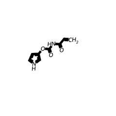 C=CC(=O)NC(=O)Oc1cc[nH]c1